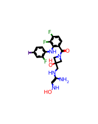 N/C(=C\NO)NCC1(O)CN(C(=O)c2ccc(F)c(F)c2Nc2ccc(I)cc2F)C1